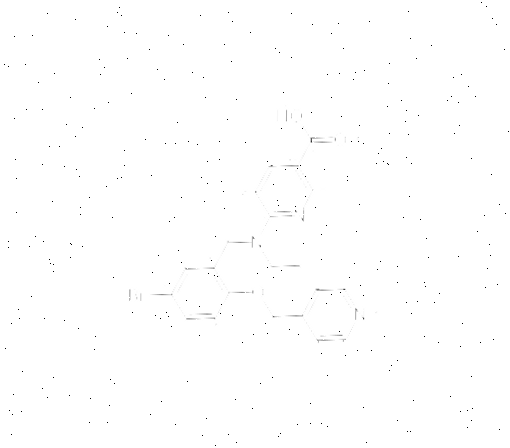 CCN(Cc1cc(Br)ccc1OCc1ccncc1)c1ccc(C(=O)O)cn1